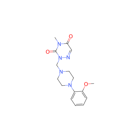 COc1ccccc1N1CCN(Cn2ncc(=O)n(C)c2=O)CC1